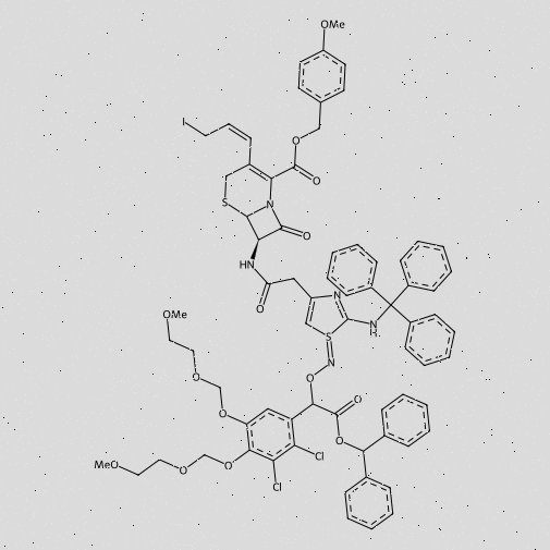 COCCOCOc1cc(C(ON=S2C=C(CC(=O)N[C@@H]3C(=O)N4C(C(=O)OCc5ccc(OC)cc5)=C(/C=C\CI)CSC34)N=C2NC(c2ccccc2)(c2ccccc2)c2ccccc2)C(=O)OC(c2ccccc2)c2ccccc2)c(Cl)c(Cl)c1OCOCCOC